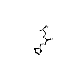 CC(C)C(C)COC(=O)OCn1ccnc1